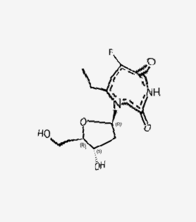 CCc1c(F)c(=O)[nH]c(=O)n1[C@H]1C[C@H](O)[C@@H](CO)O1